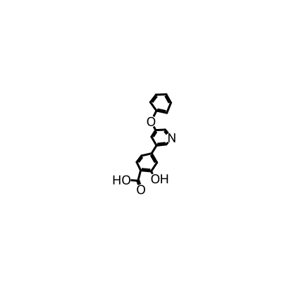 O=C(O)c1ccc(-c2cncc(Oc3ccccc3)c2)cc1O